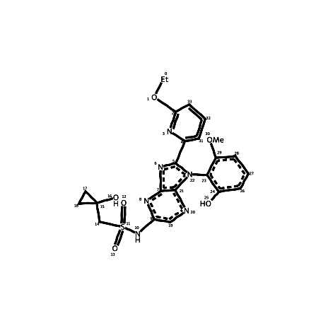 CCOC1=NC(c2nc3nc(NS(=O)(=O)CC4(O)CC4)cnc3n2-c2c(O)cccc2OC)=C=C=C1